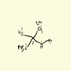 CC(C)NC(C)(C)C.[LiH]